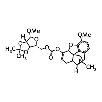 COc1ccc2c3c1OC1C(OC(=O)OC[C@H]4O[C@@H](OC)[C@H]5OC(C)(C)OC45)=CCC4[C@@H](C2)N(C)CC[C@]314